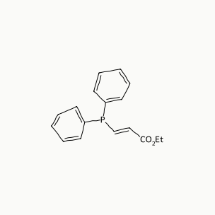 CCOC(=O)C=CP(c1ccccc1)c1ccccc1